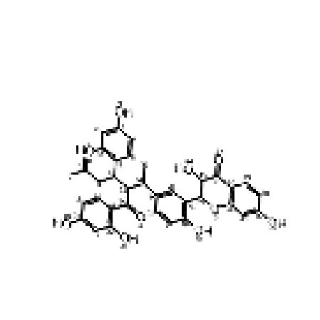 C=C(C)CC(c1ccc(O)cc1O)C(C(=O)c1ccc(O)cc1O)C(C)c1ccc(O)c(C2Oc3cc(O)ccc3C(=O)C2O)c1